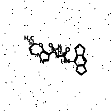 C[C@H]1CCn2ncc([S@](N)(=O)=NC(=O)Nc3c4c(cc5c3CCC5)CCC4)c2O1